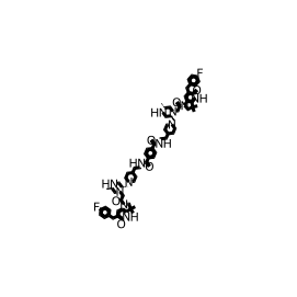 C[C@@H]1CN(CC(=O)N2CC(C)(C)c3[nH]c(=O)c(Cc4ccc(F)cc4)cc32)[C@@H](CN2CCC(CCNC(=O)c3ccc(C(=O)NCCC4CCN(C[C@H]5CN[C@H](C)CN5CC(=O)N5CC(C)(C)c6[nH]c(=O)c(Cc7ccc(F)cc7)cc65)CC4)cc3)CC2)CN1